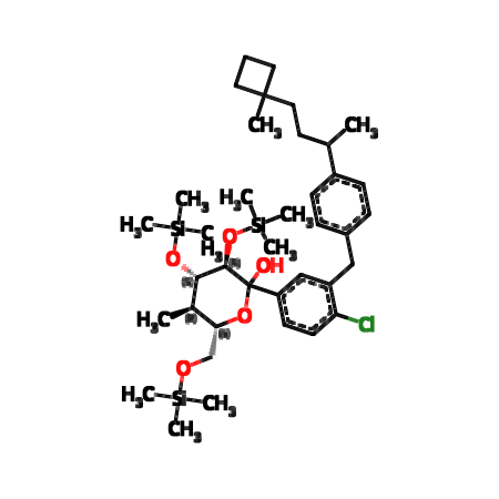 CC(CCC1(C)CCC1)c1ccc(Cc2cc(C3(O)O[C@H](CO[Si](C)(C)C)[C@@H](C)[C@H](O[Si](C)(C)C)[C@H]3O[Si](C)(C)C)ccc2Cl)cc1